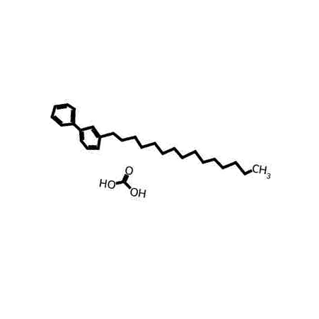 CCCCCCCCCCCCCCCc1cccc(-c2ccccc2)c1.O=C(O)O